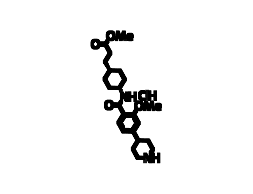 COC(=O)CC[C@H]1CC[C@H](NC(=O)c2ccc(C3CCNCC3)cc2OC)CC1.Cl